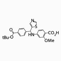 COc1cc(NC(c2ccc(C(=O)OC(C)(C)C)cc2)c2cncs2)ccc1C(=O)O